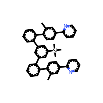 Cc1cc(-c2ccccn2)ccc1-c1ccccc1-c1cc(-c2ccccc2-c2ccc(-c3ccccn3)cc2C)cc([Si](C)(C)C)c1